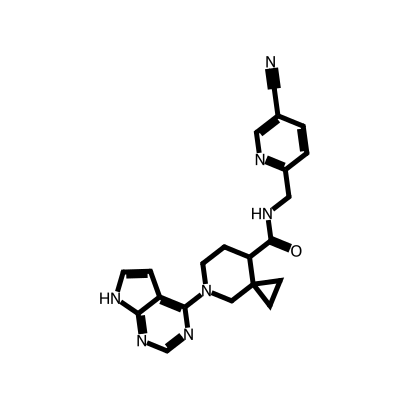 N#Cc1ccc(CNC(=O)C2CCN(c3ncnc4[nH]ccc34)CC23CC3)nc1